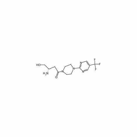 N[C@H](CO)CC(=O)N1CCN(c2ncc(C(F)(F)F)cn2)CC1